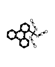 O=C=NC(N=C=O)(N=C=O)c1cccc2c3ccccc3c3ccccc3c12